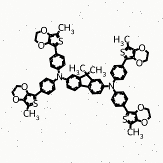 Cc1sc(-c2ccc(N(c3ccc(-c4sc(C)c5c4OCCO5)cc3)c3ccc4c(c3)C(C)(C)c3cc(N(c5ccc(-c6sc(C)c7c6OCCO7)cc5)c5ccc(-c6sc(C)c7c6OCCO7)cc5)ccc3-4)cc2)c2c1OCCO2